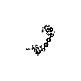 COC(=O)N[C@H](C(=O)N1[C@@H]2CC[C@@H](C2)[C@H]1c1ncc(-c2ccc(-c3ccc(-c4cnc([C@@H]5C[C@H]6C[C@H]6N5C(=O)[C@@H](NC(=O)OC)C(C)C)[nH]4)cc3)cc2)[nH]1)C(C)C